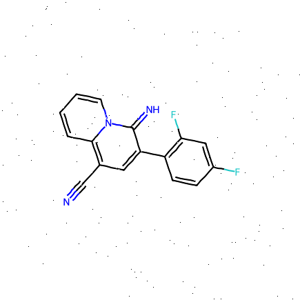 N#Cc1cc(-c2ccc(F)cc2F)c(=N)n2ccccc12